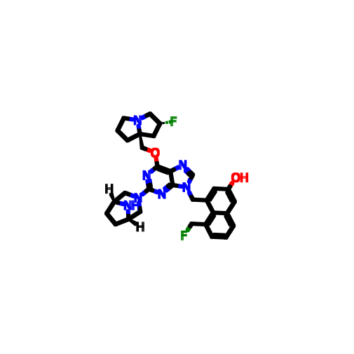 Oc1cc(Cn2cnc3c(OC[C@@]45CCCN4C[C@H](F)C5)nc(N4C[C@H]5CC[C@@H](C4)N5)nc32)c2c(CF)cccc2c1